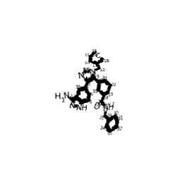 Nc1n[nH]c2ccc(-c3nnn(Cc4ccccc4)c3-c3cccc(C(=O)NCc4ccccc4)c3)cc12